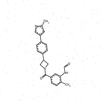 Cc1ccc(C(=O)N2CC(c3ccc(-c4cnn(C)c4)cc3)C2)cc1NC=O